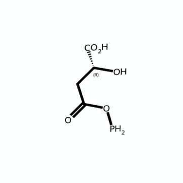 O=C(C[C@@H](O)C(=O)O)OP